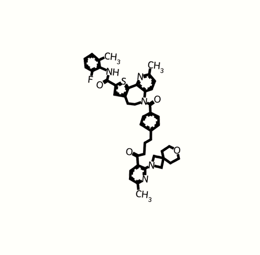 Cc1ccc2c(n1)-c1sc(C(=O)Nc3c(C)cccc3F)cc1CCN2C(=O)c1ccc(CCCC(=O)c2ccc(C)nc2N2CC3(CCOCC3)C2)cc1